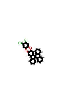 Clc1cc2c(cc1Cl)Oc1cc3c(cc1O2)-c1ccccc1C31c2ccccc2-c2ccccc21